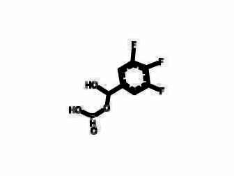 O=[PH](O)OC(O)c1cc(F)c(F)c(F)c1